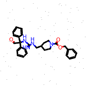 N=C(NCC1CCN(C(=O)OCc2ccccc2)CC1)NC(C=O)(c1ccccc1)c1ccccc1